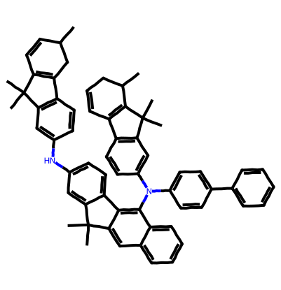 CC1C=CC2=C(C1)c1ccc(Nc3ccc4c(c3)C(C)(C)c3cc5ccccc5c(N(c5ccc(-c6ccccc6)cc5)c5ccc6c(c5)C(C)(C)C5=C6C=CCC5C)c3-4)cc1C2(C)C